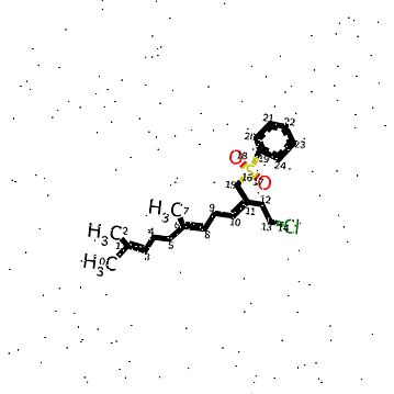 CC(C)=CCC/C(C)=C/C/C=C(/CCCl)CS(=O)(=O)c1ccccc1